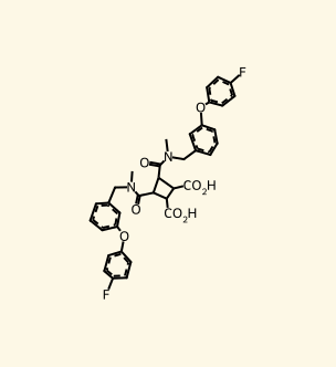 CN(Cc1cccc(Oc2ccc(F)cc2)c1)C(=O)C1C(C(=O)O)C(C(=O)O)C1C(=O)N(C)Cc1cccc(Oc2ccc(F)cc2)c1